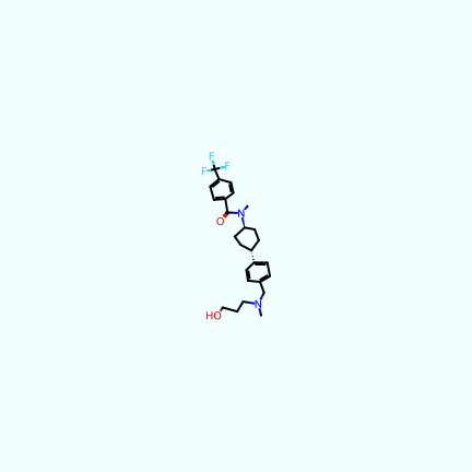 CN(CCCO)Cc1ccc([C@H]2CC[C@H](N(C)C(=O)c3ccc(C(F)(F)F)cc3)CC2)cc1